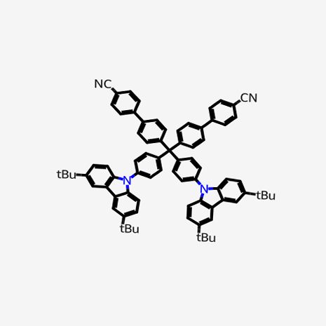 CC(C)(C)c1ccc2c(c1)c1cc(C(C)(C)C)ccc1n2-c1ccc(C(c2ccc(-c3ccc(C#N)cc3)cc2)(c2ccc(-c3ccc(C#N)cc3)cc2)c2ccc(-n3c4ccc(C(C)(C)C)cc4c4cc(C(C)(C)C)ccc43)cc2)cc1